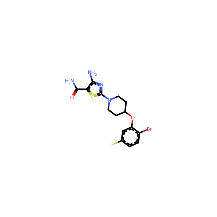 NC(=O)c1sc(N2CCC(Oc3cc(F)ccc3Br)CC2)nc1N